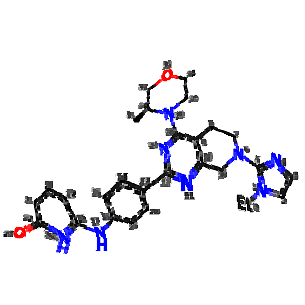 CCn1ccnc1N1CCc2c(nc(-c3ccc(Nc4cccc(=O)[nH]4)cc3)nc2N2CCOC[C@@H]2C)C1